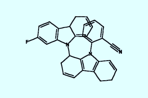 N#Cc1ccccc1-n1c2c(c3c1C(N1C4=CC=CCC4c4ccc(F)cc41)CC=C3)CCC=C2